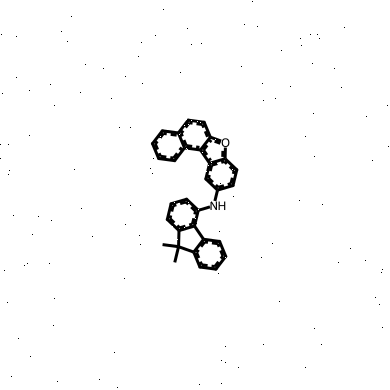 CC1(C)c2ccccc2-c2c(Nc3ccc4oc5ccc6ccccc6c5c4c3)cccc21